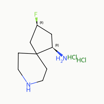 Cl.Cl.N[C@@H]1C[C@H](F)CC12CCNCC2